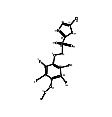 CCOc1c(F)c(F)c(OCS(=O)(=O)c2ncc(Cl)s2)c(F)c1F